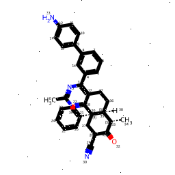 Cc1nc(-c2cccc(-c3ccc(N)cc3)c2)c2c(n1)[C@]1(c3ccccc3)CC(C#N)C(=O)[C@@H](C)[C@@H]1CC2